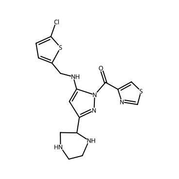 O=C(c1cscn1)n1nc(C2CNCCN2)cc1NCc1ccc(Cl)s1